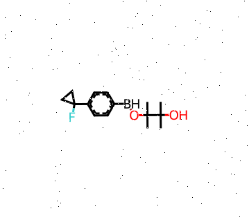 CC(C)(O)C(C)(C)OBc1ccc(C2(F)CC2)cc1